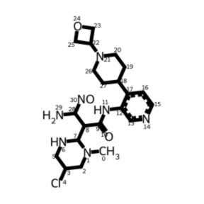 CN1CC(Cl)CNC1C(C(=O)Nc1cnccc1C1CCN(C2COC2)CC1)C(N)N=O